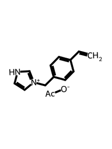 C=Cc1ccc(C[n+]2cc[nH]c2)cc1.CC(=O)[O-]